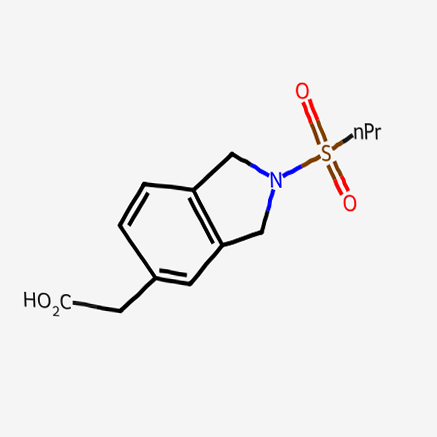 CCCS(=O)(=O)N1Cc2ccc(CC(=O)O)cc2C1